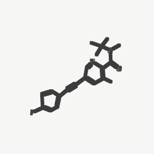 Cc1cc(C#Cc2ccc(F)cc2)cnc1C(=O)N(C)C(C)(C)C